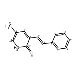 Cc1cc(C=Cc2ccccc2)c(=O)[nH]n1